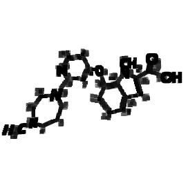 CN1CCCN(c2cc(Oc3cccc4cc(C(=O)O)n(C)c34)ccn2)CC1